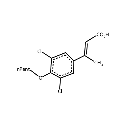 CCCCCOc1c(Cl)cc(C(C)=CC(=O)O)cc1Cl